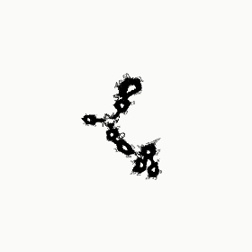 c1ccc(-c2nc(-c3ccc4c(c3)oc3cc(-n5c6ccccc6c6c(-c7ccccc7)cccc65)ccc34)nc(-c3ccc4c(c3)sc3ccccc34)n2)cc1